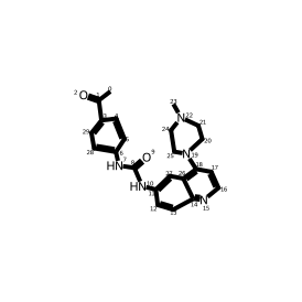 CC(=O)c1ccc(NC(=O)Nc2ccc3nccc(N4CCN(C)CC4)c3c2)cc1